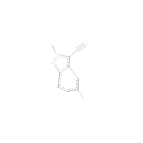 Cn1nc2ccc(Cl)cc2c1C#N